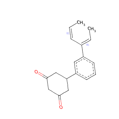 C/C=C\C(=C/C)c1cccc(C2CC(=O)CC(=O)C2)c1